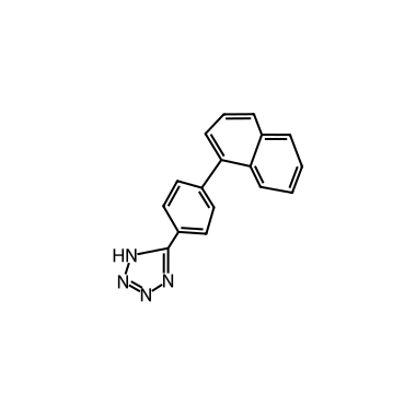 c1ccc2c(-c3ccc(-c4nnn[nH]4)cc3)cccc2c1